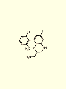 Cc1cccc(Cl)c1-c1cc(F)cc2c1O[C@H](CN)CN2